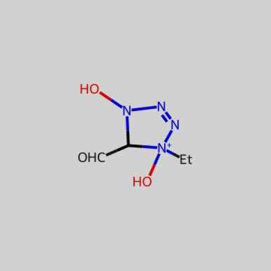 CC[N+]1(O)N=NN(O)C1C=O